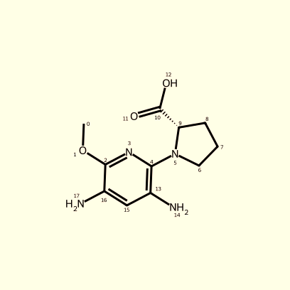 COc1nc(N2CCC[C@H]2C(=O)O)c(N)cc1N